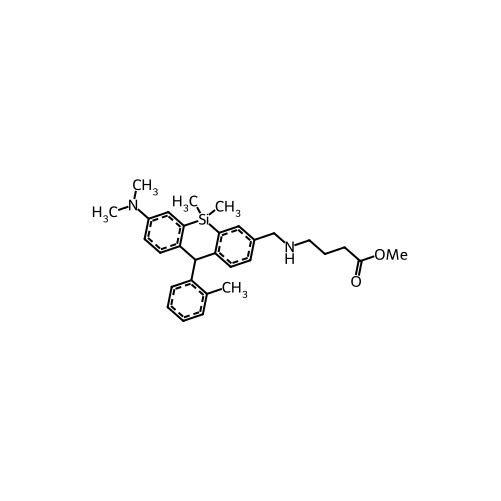 COC(=O)CCCNCc1ccc2c(c1)[Si](C)(C)c1cc(N(C)C)ccc1C2c1ccccc1C